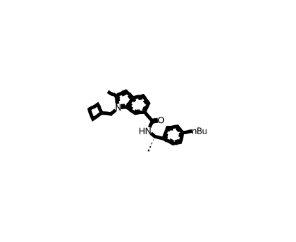 CCCCc1ccc([C@H](C)NC(=O)c2ccc3cc(C)n(CC4CCC4)c3c2)cc1